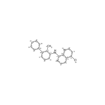 Cc1c(Nc2nccc3c(Cl)ccnc23)cccc1-c1ccccc1